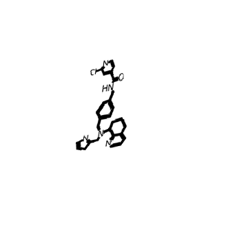 O=C(NCc1ccc(CN(CC2=NC=CC2)C2CCCc3cccnc32)cc1)c1ccnc(Cl)c1